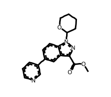 COC(=O)c1nn(C2CCCCO2)c2ccc(-c3cccnc3)cc12